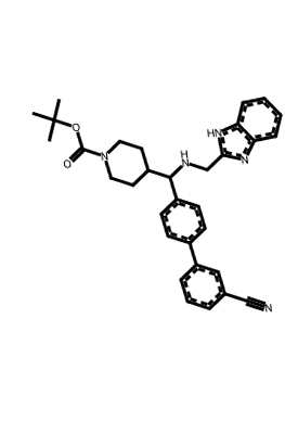 CC(C)(C)OC(=O)N1CCC(C(NCc2nc3ccccc3[nH]2)c2ccc(-c3cccc(C#N)c3)cc2)CC1